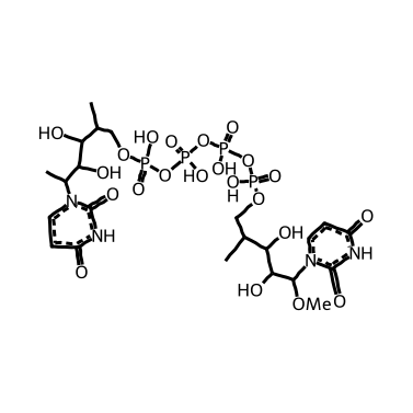 COC(C(O)C(O)C(C)COP(=O)(O)OP(=O)(O)OP(=O)(O)OP(=O)(O)OCC(C)C(O)C(O)C(C)n1ccc(=O)[nH]c1=O)n1ccc(=O)[nH]c1=O